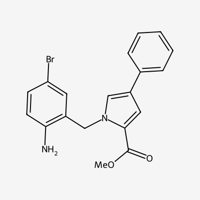 COC(=O)c1cc(-c2ccccc2)cn1Cc1cc(Br)ccc1N